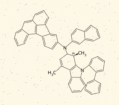 CC1=CC(N(c2ccc3c(c2)-c2cccc4cc5ccccc5c-3c24)c2ccc3ccccc3c2)[C@@H](C)c2c1c1ccccc1n2-c1ccccc1-c1ccccc1